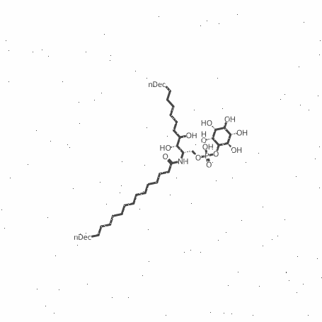 CCCCCCCCCCCCCCCCCCCCCCCC(=O)N[C@@H](COP(=O)(O)OC1[C@H](O)[C@H](O)C(O)[C@H](O)[C@H]1O)[C@H](O)C(O)CCCCCCCCCCCCCCCC